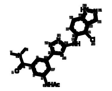 CC(=O)Nc1cc(C(=O)N(C)C)cc(-c2nnc(Nc3ccc4[nH]ncc4c3Cl)s2)c1